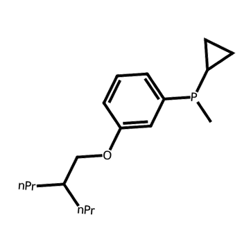 CCCC(CCC)COc1cccc(P(C)C2CC2)c1